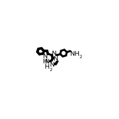 NCC1CCC(c2nc(-c3cc4ccccc4[nH]3)c3c(N)nccn23)CC1